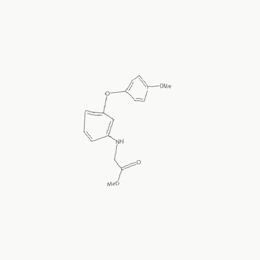 COC(=O)CNc1cccc(Oc2ccc(OC)cc2)c1